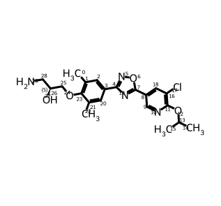 Cc1cc(-c2noc(-c3cnc(OC(C)C)c(Cl)c3)n2)cc(C)c1OC[C@@H](O)CN